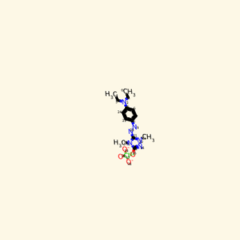 CCN(CC)c1ccc(N=NC2N(C)N=C(O[Cl+3]([O-])([O-])[O-])N2C)cc1